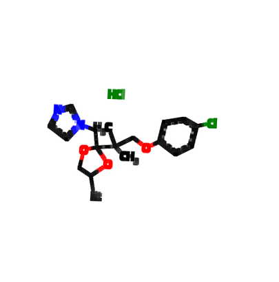 CCC1COC(Cn2ccnc2)(C(C)(C)COc2ccc(Cl)cc2)O1.Cl